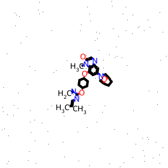 C=N/C(=N\C=C(C)C)O[C@H]1CC[C@@H](Oc2cc(N3CC4CCC(C3)O4)cc3ncc(=O)n(C)c23)CC1